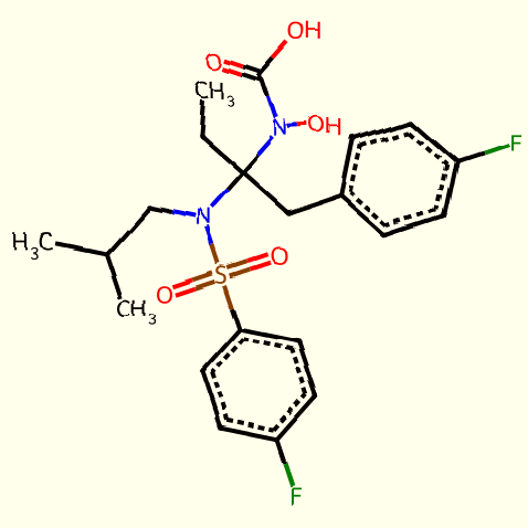 CCC(Cc1ccc(F)cc1)(N(O)C(=O)O)N(CC(C)C)S(=O)(=O)c1ccc(F)cc1